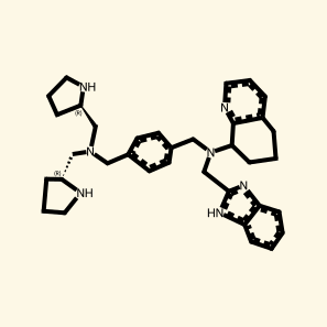 c1cnc2c(c1)CCCC2N(Cc1ccc(CN(C[C@H]2CCCN2)C[C@H]2CCCN2)cc1)Cc1nc2ccccc2[nH]1